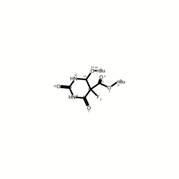 CCCCOC(=O)C1(F)C(=O)NC(=O)NC1OCCCC